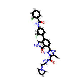 Cc1nc(-c2ccc(-c3ccc(NC(=O)c4ccccc4F)cc3F)c3c2C(=O)NC3)[nH]c1C(=O)NCCN1CCCC1